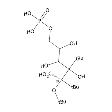 CC(C)(C)O[C@](C(=O)O)(C(C)(C)C)C(O)(C(O)C(O)COP(=O)(O)O)C(C)(C)C